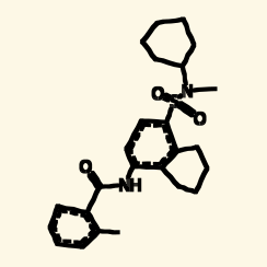 Cc1ccccc1C(=O)Nc1ccc(S(=O)(=O)N(C)C2CCCCC2)c2c1CCCC2